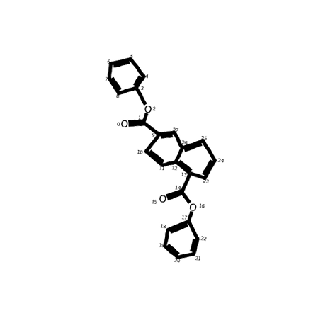 O=C(Oc1ccccc1)c1ccc2c(C(=O)Oc3ccccc3)cccc2c1